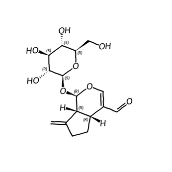 C=C1CC[C@H]2C(C=O)=CO[C@H](O[C@@H]3O[C@H](CO)[C@@H](O)[C@H](O)[C@H]3O)[C@@H]12